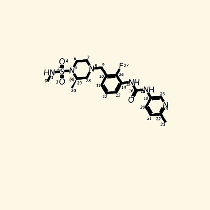 CNS(=O)(=O)N1CCN(Cc2cccc(NC(=O)Nc3ccc(C)nc3)c2F)C[C@H]1C